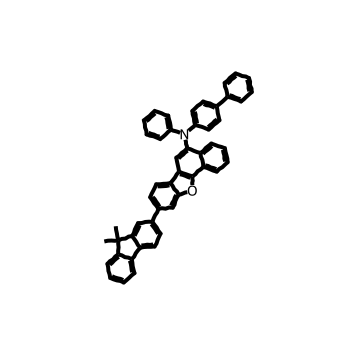 CC1(C)c2ccccc2-c2ccc(-c3ccc4c(c3)oc3c5ccccc5c(N(c5ccccc5)c5ccc(-c6ccccc6)cc5)cc43)cc21